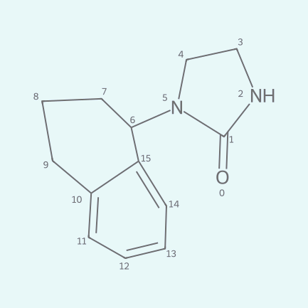 O=C1NCCN1C1CCCc2ccccc21